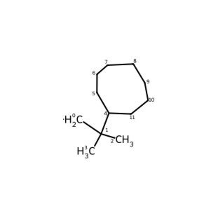 [CH2]C(C)(C)C1CCCCCCC1